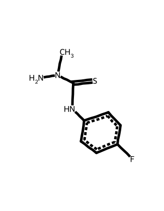 CN(N)C(=S)Nc1ccc(F)cc1